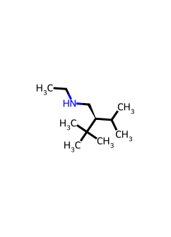 CCNC[C@@H](C(C)C)C(C)(C)C